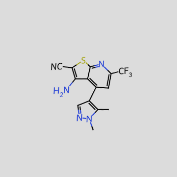 Cc1c(-c2cc(C(F)(F)F)nc3sc(C#N)c(N)c23)cnn1C